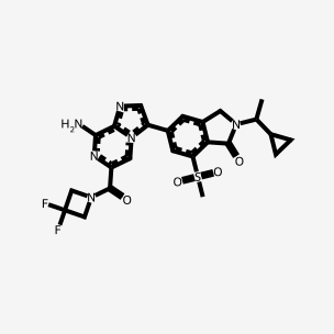 CC(C1CC1)N1Cc2cc(-c3cnc4c(N)nc(C(=O)N5CC(F)(F)C5)cn34)cc(S(C)(=O)=O)c2C1=O